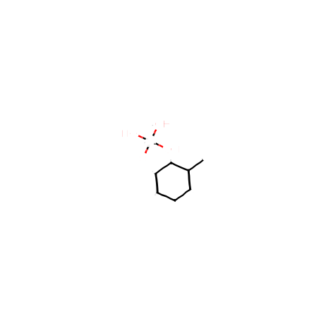 CC1CCCCC1.O[Si](O)(O)O